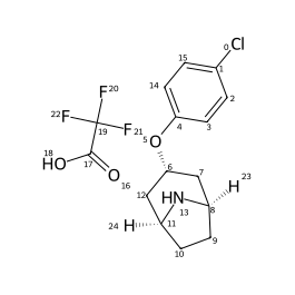 Clc1ccc(O[C@@H]2C[C@H]3CC[C@@H](C2)N3)cc1.O=C(O)C(F)(F)F